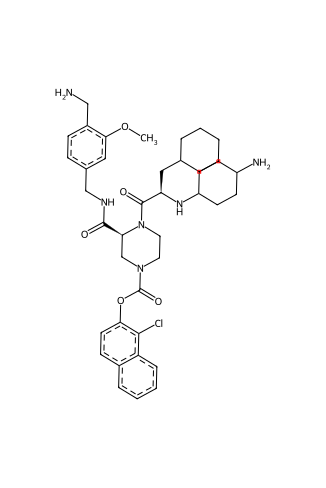 COc1cc(CNC(=O)[C@@H]2CN(C(=O)Oc3ccc4ccccc4c3Cl)CCN2C(=O)[C@@H](CC2CCCCC2)NC2CCC(N)CC2)ccc1CN